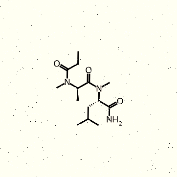 CCC(=O)N(C)[C@H](C)C(=O)N(C)[C@@H](CC(C)C)C(N)=O